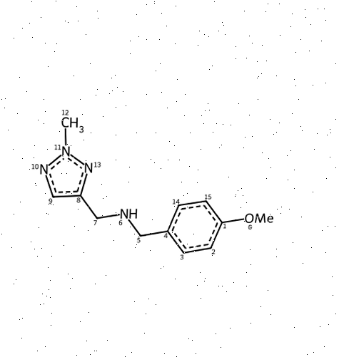 COc1ccc(CNCc2cnn(C)n2)cc1